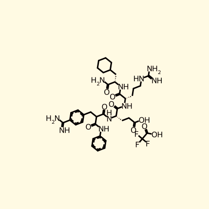 N=C(N)NCCC[C@H](NC(=O)[C@H](CCC(=O)O)NC(=O)C(Cc1ccc(C(=N)N)cc1)C(=O)Nc1ccccc1)C(=O)N[C@@H](CC1CCCCC1)C(N)=O.O=C(O)C(F)(F)F